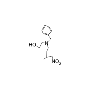 CC(CCN(CCO)Cc1ccccc1)C[N+](=O)[O-]